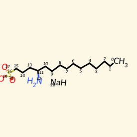 CCCCCCCCCCCC(N)CCCS(=O)(=O)O.[NaH]